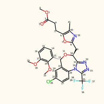 COC(=O)CCc1oc(C[C@@H]2O[C@@H](c3cccc(OC)c3OC)c3cc(Cl)ccc3-n3c2nnc3C(F)(F)F)nc1C